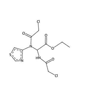 CCOC(=O)C(NC(=O)CCl)N(C(=O)CCl)c1cscn1